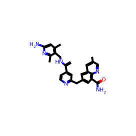 C=C(NCc1c(C)cc(N)nc1C)c1ccnc(Cc2cc(C(N)=O)c3ncc(C)cc3c2)c1